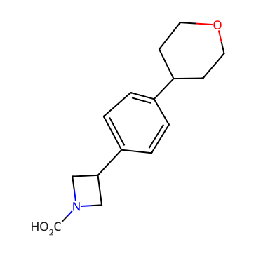 O=C(O)N1CC(c2ccc(C3CCOCC3)cc2)C1